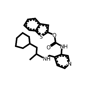 CC(CC1CCCCC1)NCc1ccncc1NC(=O)Oc1cc2ccccc2s1